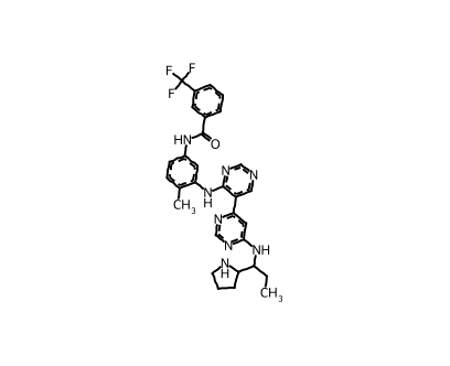 CCC(Nc1cc(-c2cncnc2Nc2cc(NC(=O)c3cccc(C(F)(F)F)c3)ccc2C)ncn1)C1CCCN1